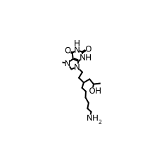 CC(O)CC(CCCCCCN)CCN1CN(C)c2c1[nH]c(=O)[nH]c2=O